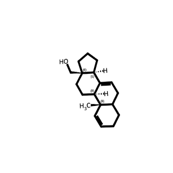 C[C@]12C=CCCC1CC=C1[C@@H]3CCC[C@@]3(CO)CC[C@@H]12